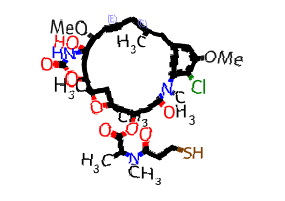 COc1cc2cc(c1Cl)N(C)C(=O)CC(OC(=O)C(C)N(C)C(=O)CCS)C1(C)CC(C)(O1)C1CC(O)(NC(=O)O1)C(OC)/C=C/C=C(\C)C2